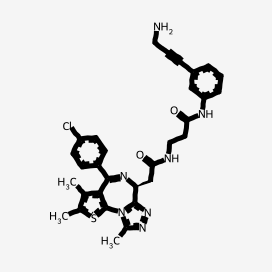 Cc1sc2c(c1C)C(c1ccc(Cl)cc1)=N[C@@H](CC(=O)NCCC(=O)Nc1cccc(C#CCN)c1)c1nnc(C)n1-2